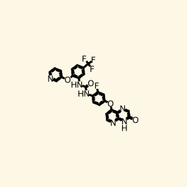 O=C(Nc1ccc(Oc2ccnc3[nH]c(=O)cnc23)cc1F)Nc1cc(C(F)(F)F)ccc1Oc1cccnc1